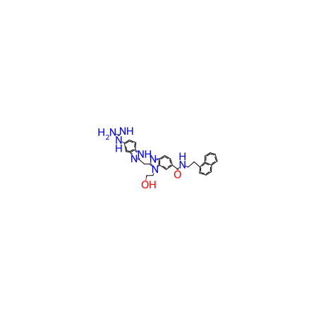 N=C(N)Nc1ccc2[nH]c(Cc3nc4ccc(C(=O)NCCc5cccc6ccccc56)cc4n3CCO)nc2c1